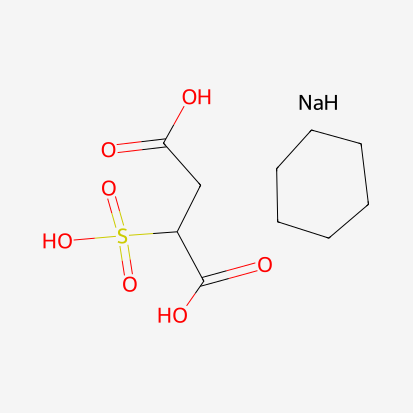 C1CCCCC1.O=C(O)CC(C(=O)O)S(=O)(=O)O.[NaH]